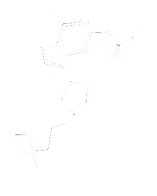 COP(=O)(CCO[C@H]1CO[C@@H](n2cnc3c(=O)[nH]c(NC(=O)C(C)C)nc32)C1)OC